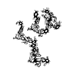 CC(=O)N(NCc1cccc(F)c1Cl)[C@@H](CNCC(F)F)COC(=O)Nc1cc(-c2cccc(F)c2)no1.CC(=O)N(NCc1cccc(F)c1Cl)[C@@H](CNCC(F)F)COC(=O)Nc1cc(-c2ccccc2)no1.CC(=O)N(NCc1cccc(F)c1Cl)[C@@H](CNCC(F)F)COC(=O)Nc1cc(-c2ccccc2)on1.CC(=O)N(NCc1cccc(F)c1Cl)[C@@H](CNCC(F)F)CON(C=O)c1cc(-c2cccc(F)c2)on1